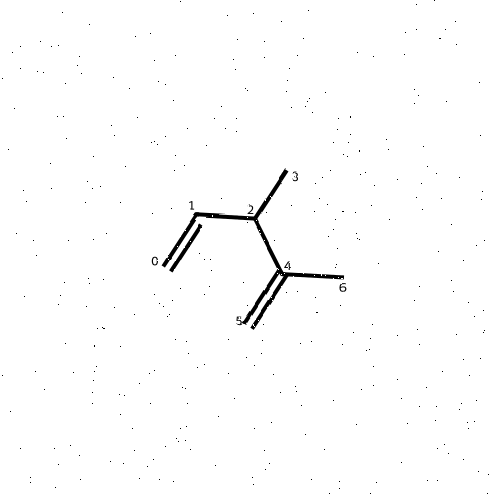 C=CC(C)C(=C)C